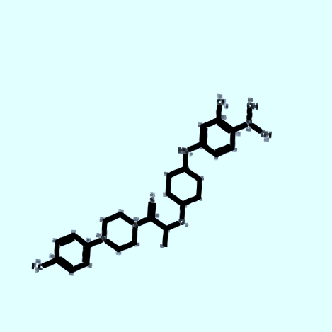 CC(OC1CCC(Nc2ccc(N(O)O)c(C(F)(F)F)c2)CC1)C(=S)N1CCN(c2ccc(C(F)(F)F)cc2)CC1